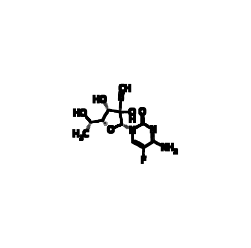 C#CC1(O)[C@@H](O)[C@@H]([C@H](C)O)O[C@H]1n1cc(F)c(N)nc1=O